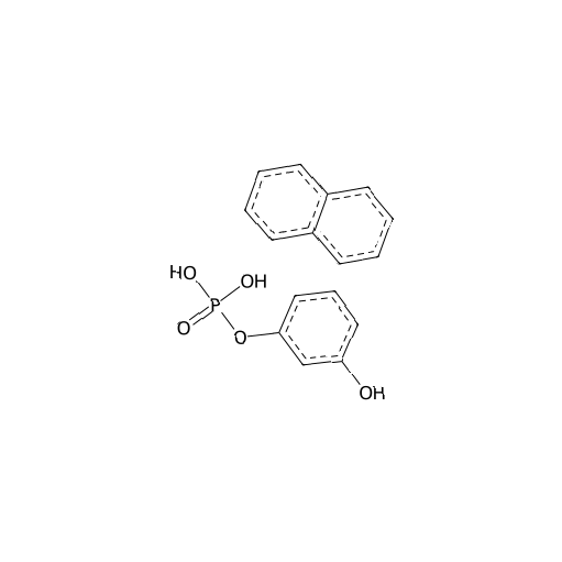 O=P(O)(O)Oc1cccc(O)c1.c1ccc2ccccc2c1